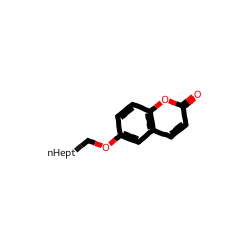 CCCCCCCCOc1ccc2oc(=O)ccc2c1